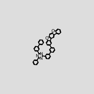 c1ccc(-c2cccc(-c3nc(-c4ccccc4)nc(-c4cccc(-c5cccc(-c6ccc7oc8cc9oc%10ccccc%10c9cc8c7c6)c5)c4)n3)c2)cc1